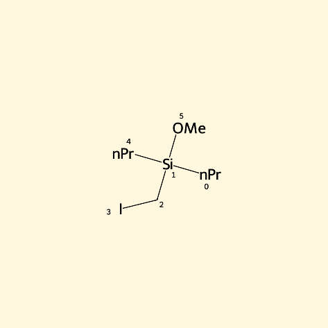 CCC[Si](CI)(CCC)OC